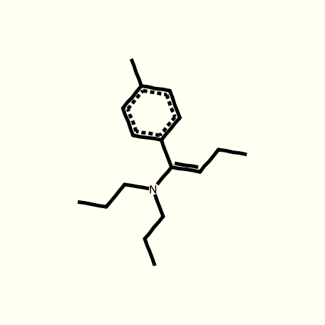 CC/C=C(\c1ccc(C)cc1)N(CCC)CCC